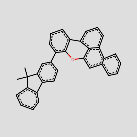 CC1(C)c2ccccc2-c2ccc(-c3cccc4c3Oc3cc5ccccc5c5cccc-4c35)cc21